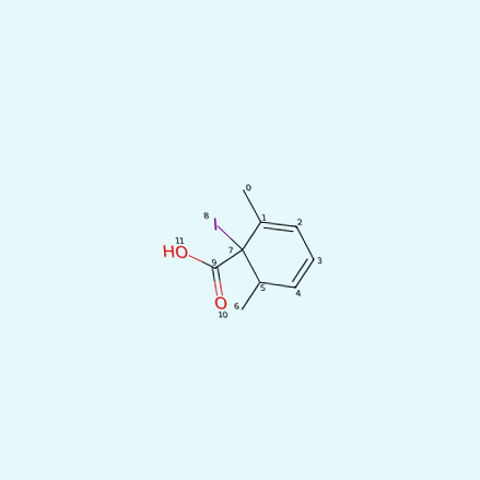 CC1=CC=CC(C)C1(I)C(=O)O